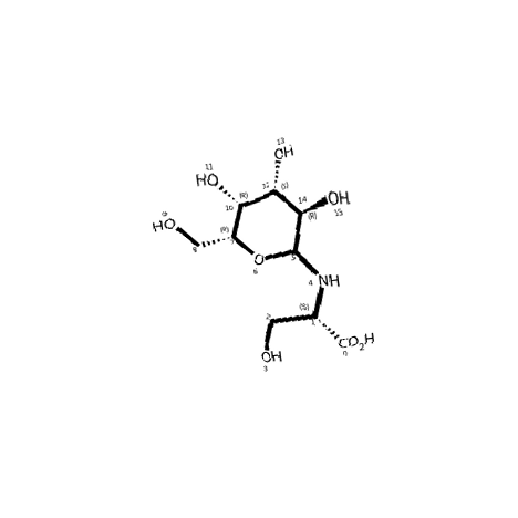 O=C(O)[C@H](CO)NC1O[C@H](CO)[C@H](O)[C@H](O)[C@H]1O